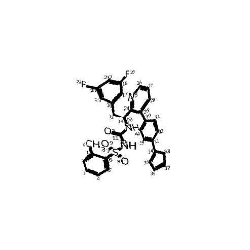 Cc1ccccc1S(=O)(=O)NC(=O)N[C@@H](Cc1cc(F)cc(F)c1)c1ncccc1-c1ccc(C2=CC=CC2)cc1